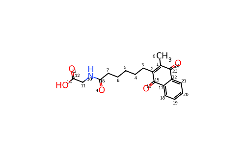 CC1=C(CCCCCC(=O)NCC(=O)O)C(=O)c2ccccc2C1=O